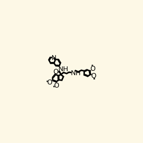 COc1ccc(CCCNCCCC2(C(=O)Nc3ccc4ncccc4c3)CCc3c2ccc(OC)c3OC)cc1OC